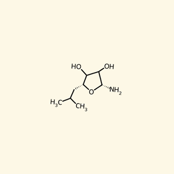 CC(C)C[C@H]1O[C@@H](N)C(O)C1O